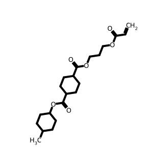 C=CC(=O)OCCCOC(=O)C1CCC(C(=O)OC2CCC(C)CC2)CC1